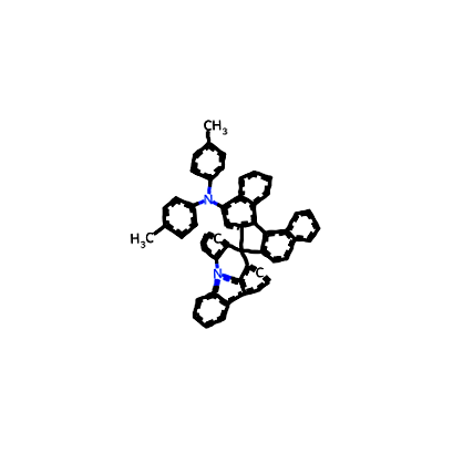 Cc1ccc(N(c2ccc(C)cc2)c2cc3c(c4ccccc24)-c2c(ccc4ccccc24)C32c3ccccc3-n3c4ccccc4c4cccc2c43)cc1